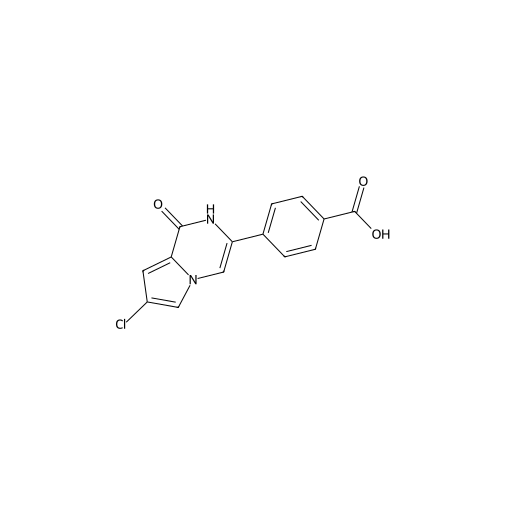 O=C(O)c1ccc(-c2cn3cc(Cl)cc3c(=O)[nH]2)cc1